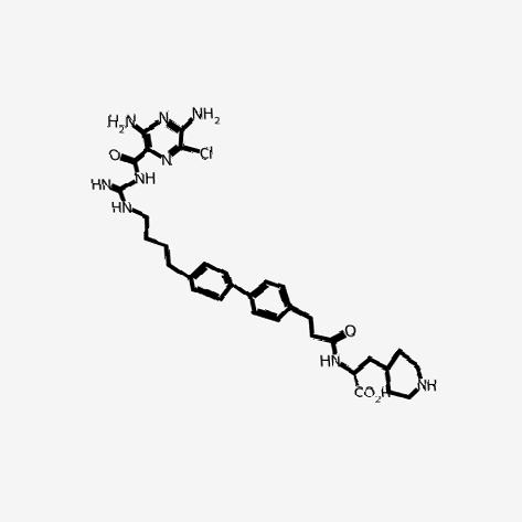 N=C(NCCCCc1ccc(-c2ccc(CCC(=O)N[C@@H](CC3CCNCC3)C(=O)O)cc2)cc1)NC(=O)c1nc(Cl)c(N)nc1N